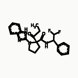 CCC(=O)[C@@]1(C(=O)NC(c2ccccc2)C(F)F)CCCN1c1nc2ccccc2[nH]1